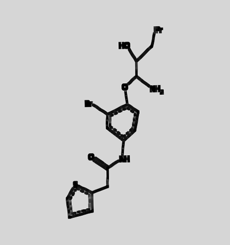 CC(C)CC(O)C(N)Oc1ccc(NC(=O)Cc2cccs2)cc1Br